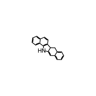 C1=C2Nc3c(ccc4ccccc34)C2Cc2ccccc21